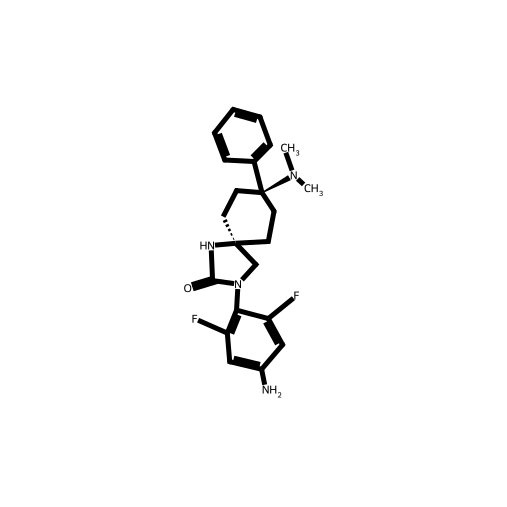 CN(C)[C@]1(c2ccccc2)CC[C@]2(CC1)CN(c1c(F)cc(N)cc1F)C(=O)N2